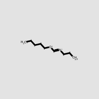 CCCCCOC=NCCC